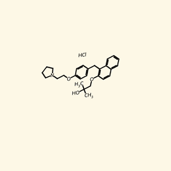 CC(C)(O)COc1ccc2ccccc2c1Cc1ccc(OCCN2CCCC2)cc1.Cl